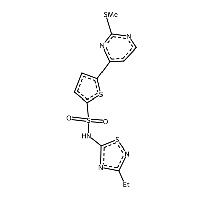 CCc1nsc(NS(=O)(=O)c2ccc(-c3ccnc(SC)n3)s2)n1